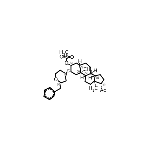 CC(=O)[C@H]1CC[C@H]2[C@@H]3CC[C@H]4C[C@H](OS(C)(=O)=O)[C@@H](N5CCO[C@H](Cc6ccccc6)C5)C[C@]4(C)[C@H]3CC[C@]12C